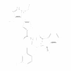 CCn1ncc(Br)c1-c1csc(C(=O)N[C@@H](Cc2cccc(F)c2)CN2C(=O)c3ccccc3C2=O)c1